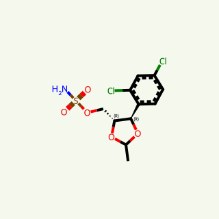 CC1O[C@H](c2ccc(Cl)cc2Cl)[C@@H](COS(N)(=O)=O)O1